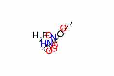 BOC=N[C@@H](Cc1ccc(OCCC=C)cc1)C(=O)N[C@@H](CC(C)C)C(=O)OC